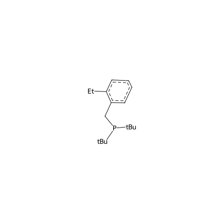 CCc1ccccc1CP(C(C)(C)C)C(C)(C)C